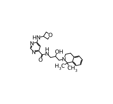 CC1(C)c2ccccc2CCN1CC(O)CNC(=O)c1cc(NC2COC2)ncn1